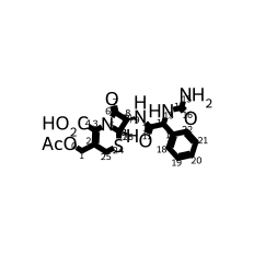 CC(=O)OCC1=C(C(=O)O)N2C(=O)[C@@H](NC(=O)C(NC(N)=O)c3ccccc3)[C@H]2SC1